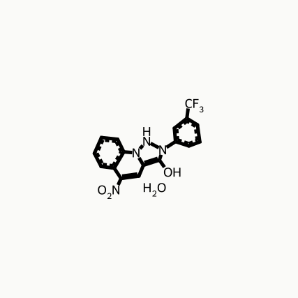 O.O=[N+]([O-])C1=CC2=C(O)N(c3cccc(C(F)(F)F)c3)NN2c2ccccc21